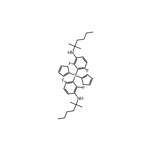 CCCCC(C)(C)Nc1ccc(F)[c]([Ti]([C]2=CC=CC2)([C]2=CC=CC2)[c]2c(F)ccc(NC(C)(C)CCCC)c2F)c1F